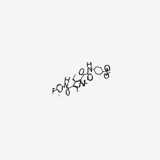 CCc1c(C(=O)Nc2ccc(F)c(C)c2)c(C)n(C)c1C(=O)C(=O)NC1CCC(S(C)(=O)=O)CC1